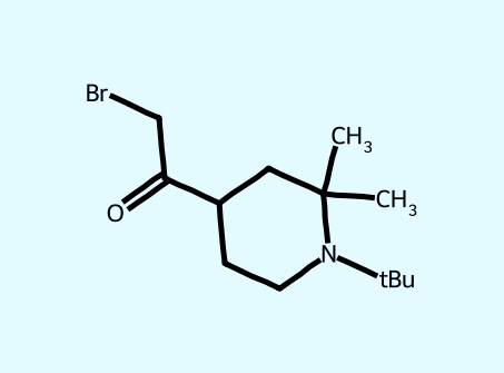 CC(C)(C)N1CCC(C(=O)CBr)CC1(C)C